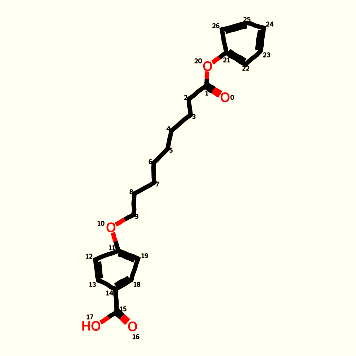 O=C(CCCCCCCCOc1ccc(C(=O)O)cc1)Oc1ccccc1